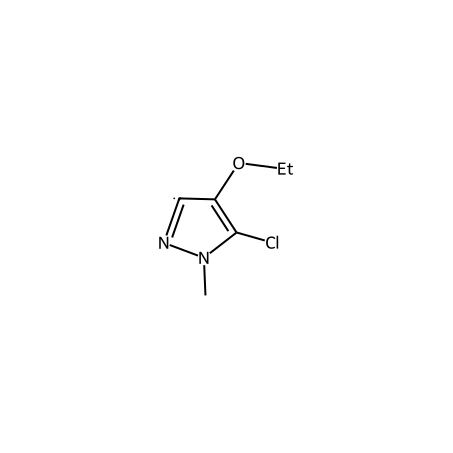 CCOc1[c]nn(C)c1Cl